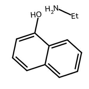 CCN.Oc1cccc2ccccc12